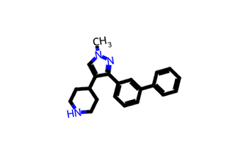 Cn1cc(C2CCNCC2)c(-c2cccc(-c3ccccc3)c2)n1